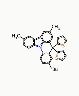 CCC(C)c1ccc2c(c1)C(c1cccs1)(c1cccs1)c1cc(C)cc3c4cc(C)ccc4n-2c13